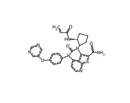 C=CC(=O)N[C@H]1CCC[C@H]1N1C(=O)N(c2ccc(Oc3cncnc3)cc2)c2ccnc3sc(C(N)=O)c1c23